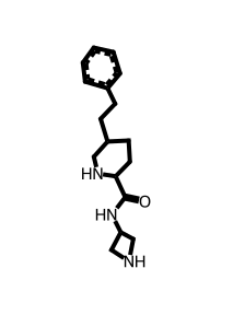 O=C(NC1CNC1)C1CCC(CCc2ccccc2)CN1